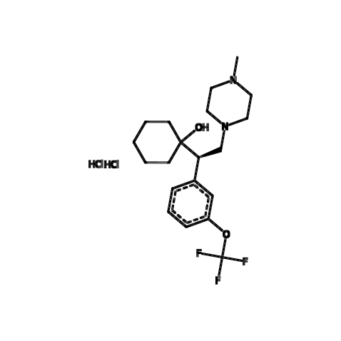 CN1CCN(C[C@@H](c2cccc(OC(F)(F)F)c2)C2(O)CCCCC2)CC1.Cl.Cl